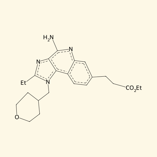 CCOC(=O)CCc1ccc2c(c1)nc(N)c1nc(CC)n(CC3CCOCC3)c12